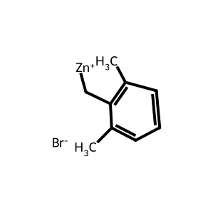 Cc1cccc(C)c1[CH2][Zn+].[Br-]